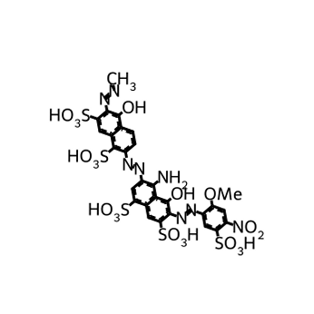 CN=Nc1c(S(=O)(=O)O)cc2c(S(=O)(=O)O)c(N=Nc3cc(S(=O)(=O)O)c4cc(S(=O)(=O)O)c(N=Nc5cc(S(=O)(=O)O)c([N+](=O)[O-])cc5OC)c(O)c4c3N)ccc2c1O